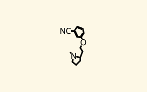 CN1CCCC1CCOc1cccc(C#N)c1